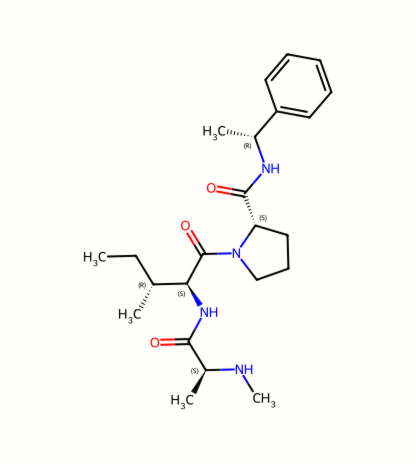 CC[C@@H](C)[C@H](NC(=O)[C@H](C)NC)C(=O)N1CCC[C@H]1C(=O)N[C@H](C)c1ccccc1